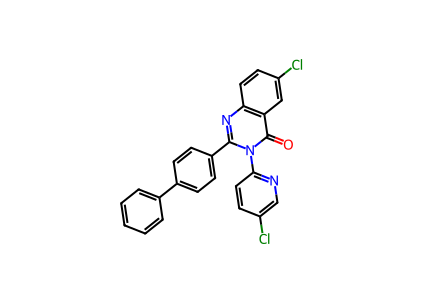 O=c1c2cc(Cl)ccc2nc(-c2ccc(-c3ccccc3)cc2)n1-c1ccc(Cl)cn1